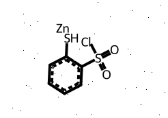 O=S(=O)(Cl)c1ccccc1S.[Zn]